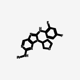 CC(C)Nc1ncc2nc(Nc3ccc(F)cc3F)n(C3CCOC3)c2n1